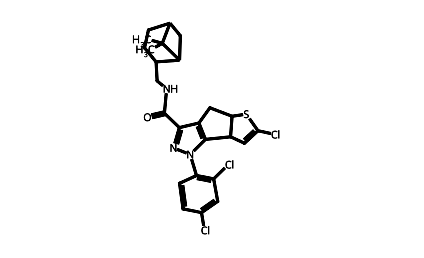 CC1(C)C2CCC(CNC(=O)c3nn(-c4ccc(Cl)cc4Cl)c4c3CC3SC(Cl)=CC43)C1C2